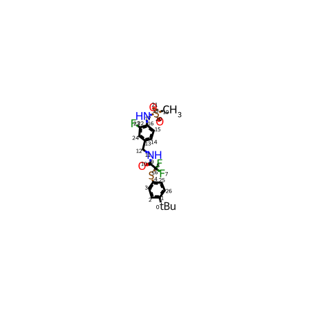 CC(C)(C)c1ccc(SC(F)(F)C(=O)NCc2ccc(NS(C)(=O)=O)c(F)c2)cc1